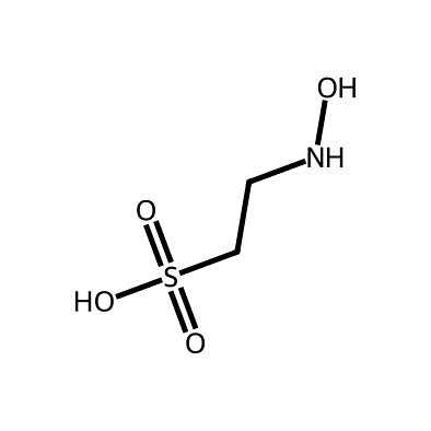 O=S(=O)(O)CCNO